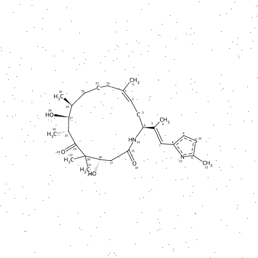 CC1=CC[C@@H](/C(C)=C/c2csc(C)n2)NC(=O)C[C@H](O)C(C)(C)C(=O)[C@H](C)[C@@H](O)[C@@H](C)CCC1